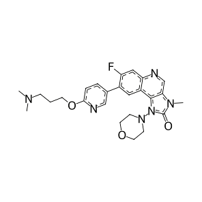 CN(C)CCCOc1ccc(-c2cc3c(cc2F)ncc2c3n(N3CCOCC3)c(=O)n2C)cn1